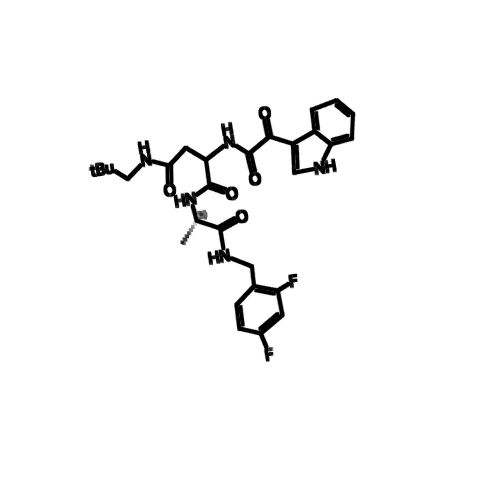 C[C@H](NC(=O)C(CC(=O)NCC(C)(C)C)NC(=O)C(=O)c1c[nH]c2ccccc12)C(=O)NCc1ccc(F)cc1F